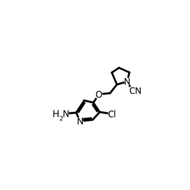 N#CN1CCCC1COc1cc(N)ncc1Cl